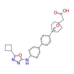 O=C(O)CC12CCC(c3ccc(-c4ccc(Nc5nnc(C6CCC6)o5)cc4)cc3)(CC1)CO2